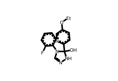 CCOc1ccc(C2(O)NN=CN2c2ccccc2F)nc1